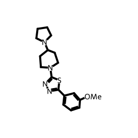 COc1cccc(-c2nnc(N3CCC(N4CCCC4)CC3)s2)c1